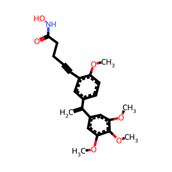 C=C(c1ccc(OC)c(C#CCCC(=O)NO)c1)c1cc(OC)c(OC)c(OC)c1